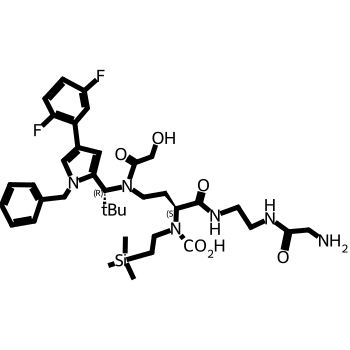 CC(C)(C)[C@H](c1cc(-c2cc(F)ccc2F)cn1Cc1ccccc1)N(CC[C@@H](C(=O)NCCNC(=O)CN)N(CC[Si](C)(C)C)C(=O)O)C(=O)CO